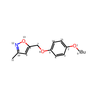 CCC(C)Oc1ccc(OCc2cc(C)no2)cc1